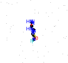 O=C(c1cc2c(s1)CN(c1nccc(Nc3ccc(-c4c[nH]nn4)cc3)n1)CC2)N1CC(F)(F)C1